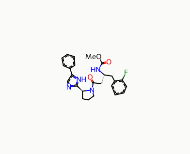 COC(=O)N[C@@H](CC(=O)N1CCC[C@H]1c1ncc(-c2ccccc2)[nH]1)Cc1ccccc1F